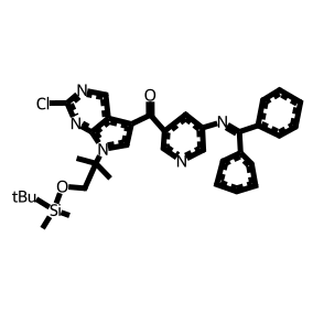 CC(C)(CO[Si](C)(C)C(C)(C)C)n1cc(C(=O)c2cncc(N=C(c3ccccc3)c3ccccc3)c2)c2cnc(Cl)nc21